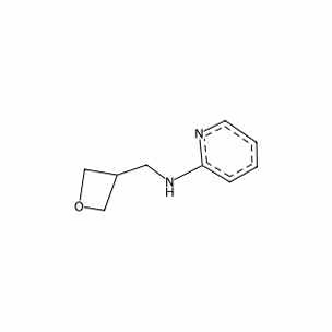 c1ccc(NCC2COC2)nc1